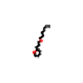 N#CCCCCCOCCCC1CCCCO1